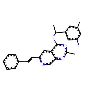 Cc1nc(NC(C)c2cc(N)cc(C(F)(F)F)c2)c2cc(/C=C/c3ccccc3)ncc2n1